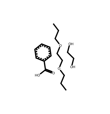 CCCOCCOCCC.O=C(O)c1ccccc1.OCCO